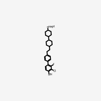 CCCCCCCC1CCC(C2CCC(CCc3ccc(-c4ccc(CCC)c(Cl)c4F)cc3)CC2)CC1